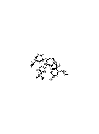 CCNc1cc(F)cc2c1[nH]c1ncc(-c3cncc(C#N)c3)c(-n3ccc(C(F)F)n3)c12